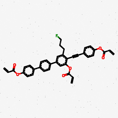 C=CC(=O)Oc1ccc(C#Cc2c(CCCF)cc(-c3ccc(-c4ccc(OC(=O)C=C)cc4)cc3)cc2OC(=O)C=C)cc1